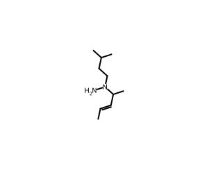 CC=CC(C)N(N)CCC(C)C